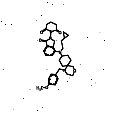 COc1ccc(CN2CCOCC23CCC(N(CCC2CC2)c2cccc4c2CN(N2C(=O)CCCC2=O)C4=O)CC3)cc1